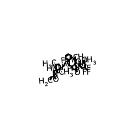 C=CC(=O)N1CC2(C1)N[C@H](C)CN(CCN1C[C@H]3CC(=O)N(c4cc(C(F)(F)F)cc(C)n4)[C@@H]3C(=O)N(C)c3cccc(F)c31)[C@@H]2C